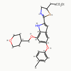 CCOC(=O)CC1CN=C(c2cc3cc(Oc4ccc(C)cc4)cc(OCC4CCOCC4)c3[nH]2)S1